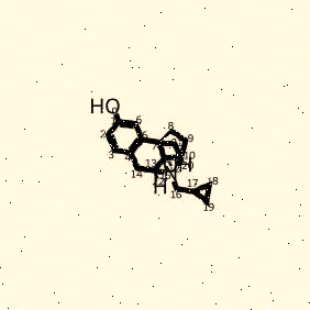 Oc1ccc2c(c1)[C@@]13CCC[C@@]1(O)[C@@H](C2)N(CC1CC1)CC3